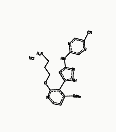 COc1ccnc(OCCCN)c1-c1cc(Nc2cnc(C#N)cn2)n[nH]1.Cl